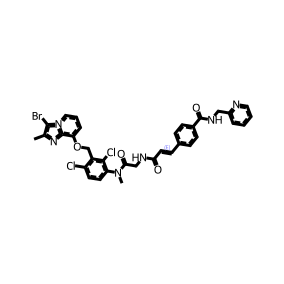 Cc1nc2c(OCc3c(Cl)ccc(N(C)C(=O)CNC(=O)/C=C/c4ccc(C(=O)NCc5ccccn5)cc4)c3Cl)cccn2c1Br